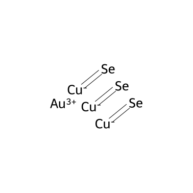 [Au+3].[Cu-]=[Se].[Cu-]=[Se].[Cu-]=[Se]